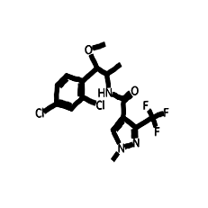 COC(c1ccc(Cl)cc1Cl)C(C)NC(=O)c1cn(C)nc1C(F)(F)F